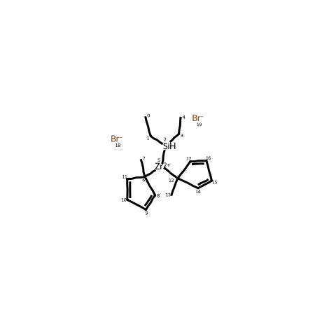 CC[SiH](CC)[Zr+2]([C]1(C)C=CC=C1)[C]1(C)C=CC=C1.[Br-].[Br-]